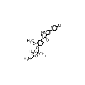 COc1cc(-n2cnn3cc(-c4ccc(Cl)cc4)cc3c2=O)ccc1OCC(C)(C)OC(=O)CN